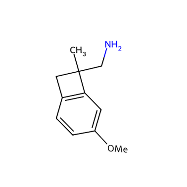 COc1ccc2c(c1)C(C)(CN)C2